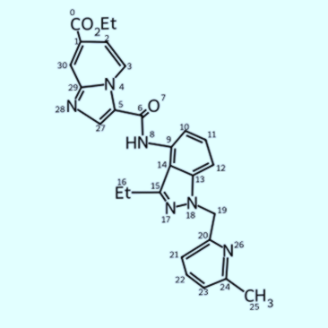 CCOC(=O)c1ccn2c(C(=O)Nc3cccc4c3c(CC)nn4Cc3cccc(C)n3)cnc2c1